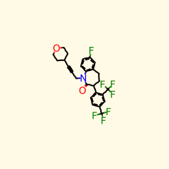 O=C1C(c2ccc(C(F)(F)F)cc2C(F)(F)F)CCc2cc(F)ccc2N1CC#CC1CCOCC1